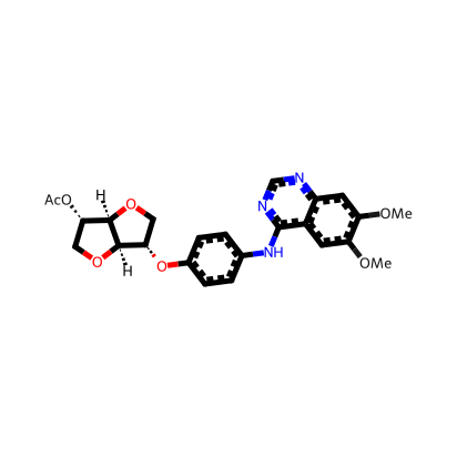 COc1cc2ncnc(Nc3ccc(O[C@H]4CO[C@H]5[C@@H]4OC[C@@H]5OC(C)=O)cc3)c2cc1OC